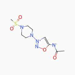 CC(=O)[N-]c1c[n+](N2CCN(S(C)(=O)=O)CC2)no1